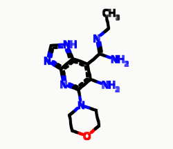 CCN=C(N)c1c(N)c(N2CCOCC2)nc2nc[nH]c12